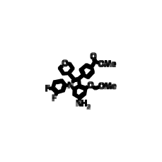 COCOc1cc(N)cc2c1c(-c1ccc(C(=O)OC)cc1)c(C1CCOCC1)n2-c1ccc(F)c(F)c1